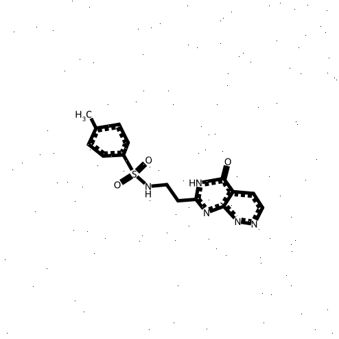 Cc1ccc(S(=O)(=O)NCCc2nc3nnccc3c(=O)[nH]2)cc1